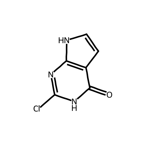 O=c1[nH]c(Cl)nc2[nH]ccc12